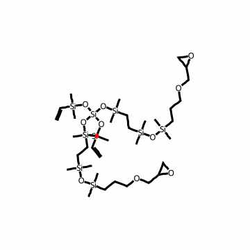 C=C[Si](C)(C)O[Si](O[Si](C)(C)C=C)(O[Si](C)(C)CC[Si](C)(C)O[Si](C)(C)CCCOCC1CO1)O[Si](C)(C)CC[Si](C)(C)O[Si](C)(C)CCCOCC1CO1